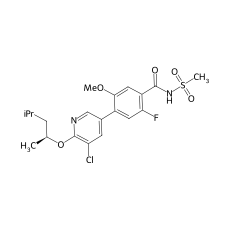 COc1cc(C(=O)NS(C)(=O)=O)c(F)cc1-c1cnc(O[C@@H](C)CC(C)C)c(Cl)c1